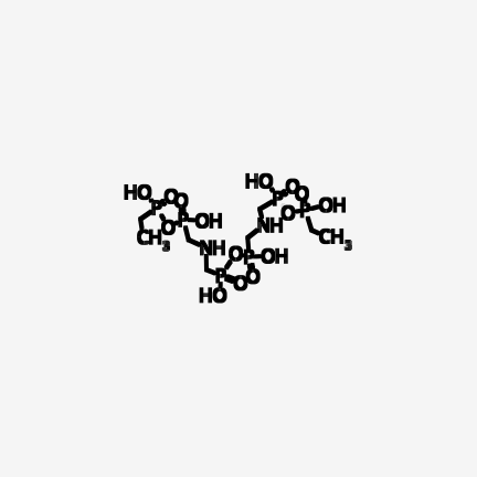 CCP(=O)(O)OP(=O)(O)CNCP(=O)(O)OP(=O)(O)CNCP(=O)(O)OP(=O)(O)CC